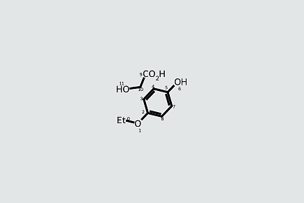 CCOc1ccc(O)cc1.O=C(O)CO